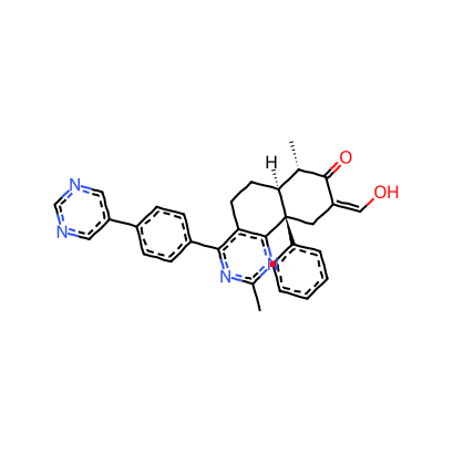 Cc1nc(-c2ccc(-c3cncnc3)cc2)c2c(n1)[C@@]1(c3ccccc3)CC(=CO)C(=O)[C@@H](C)[C@@H]1CC2